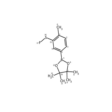 Cc1ccc(B2OC(C)(C)C(C)(C)O2)cc1SF